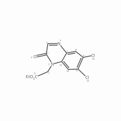 CCOC(=O)Cn1c(=O)cnc2cc(Cl)c(Cl)cc21